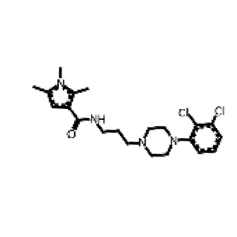 Cc1cc(C(=O)NCCCN2CCN(c3cccc(Cl)c3Cl)CC2)c(C)n1C